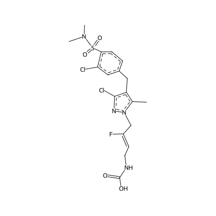 Cc1c(Cc2ccc(S(=O)(=O)N(C)C)c(Cl)c2)c(Cl)nn1CC(F)=CCNC(=O)O